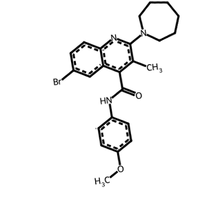 COc1c[c]c(NC(=O)c2c(C)c(N3CCCCCC3)nc3ccc(Br)cc23)cc1